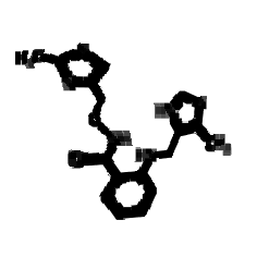 Cc1nc(CONC(=O)c2ccccc2NCc2[nH]cnc2C)cs1